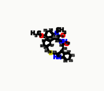 COc1ccc(N(C)C(=O)[C@@H]2Cc3cccc(c3)CSCc3[nH]c4ccccc4c3CC(=O)N2)cc1